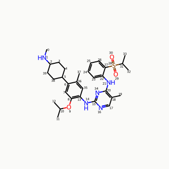 CNC1CCC(c2cc(OC(C)C)c(Nc3ncc(C)c(Nc4ccccc4S(=O)(=O)C(C)C)n3)cc2C)CC1